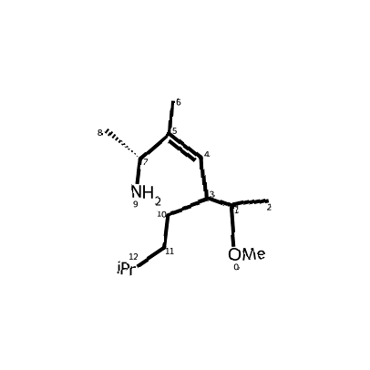 COC(C)C(/C=C(/C)[C@@H](C)N)CCC(C)C